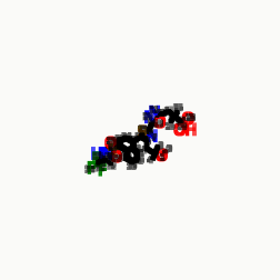 COC(C)(C)Cc1nc(-c2nnc(CC(C)(C)C(=O)O)o2)sc1-c1ccc(S(=O)(=O)N[C@@H](C)C(F)(F)F)c2ccccc12